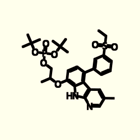 CCS(=O)(=O)c1cccc(-c2ccc(OC(C)COP(=O)(OC(C)(C)C)OC(C)(C)C)c3[nH]c4ncc(C)cc4c23)c1